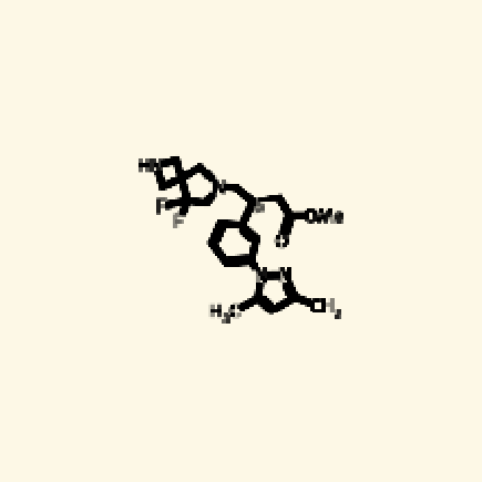 COC(=O)C[C@H](CN1CC(F)(F)C2(CNC2)C1)c1cccc(-n2nc(C)cc2C)c1